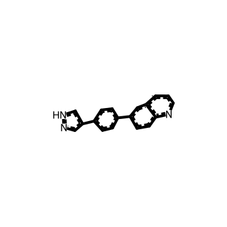 [c]1ccnc2ccc(-c3ccc(-c4cn[nH]c4)cc3)cc12